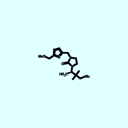 COCc1nc(CN2CCN([C@H](C(=O)O)C(C)(C)CC(C)(C)C)C2=O)cs1